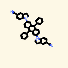 N#Cc1ccc2c(c1)CCN2c1ccc2c(-c3ccccc3)c3cc(N4CCc5cc(C#N)ccc54)ccc3c(-c3ccccc3)c2c1